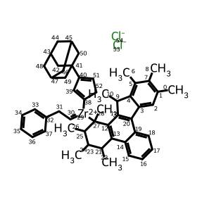 Cc1cc2c(c(C)c1C)C(C)c1c3c(c4ccccc4c1-2)C(C)C(C)C(C)[C]3(C)[Zr+2](=[CH]Cc1ccccc1)[C]1=CC(C23CC4CC(CC(C4)C2)C3)=CC1.[Cl-].[Cl-]